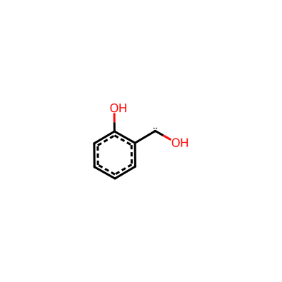 O[C]c1ccccc1O